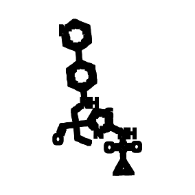 CCC(C=O)(CNc1ccc(-c2cccnc2)cc1)c1csc(NS(=O)(=O)C2CC2)n1